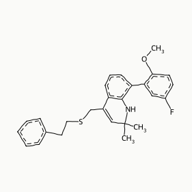 COc1ccc(F)cc1-c1cccc2c1NC(C)(C)C=C2CSCCc1ccccc1